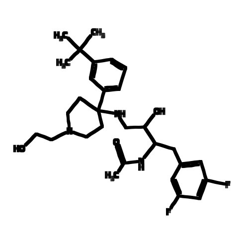 CC(=O)NC(Cc1cc(F)cc(F)c1)C(O)CNC1(c2cccc(C(C)(C)C)c2)CCN(CCO)CC1